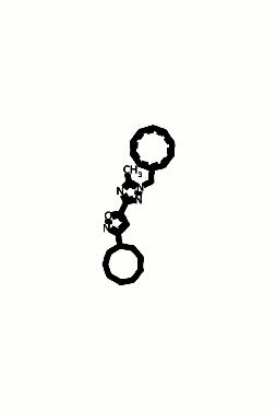 Cc1nc(-c2cc(C3CCCCCCCC3)no2)nn1Cc1ccccccccc1